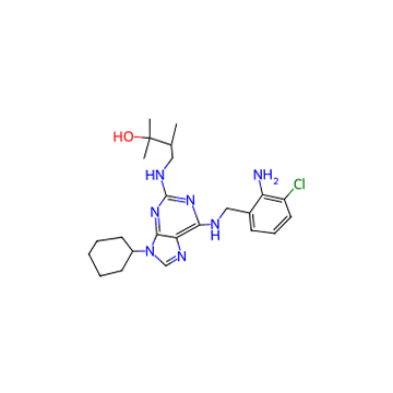 CC(CNc1nc(NCc2cccc(Cl)c2N)c2ncn(C3CCCCC3)c2n1)C(C)(C)O